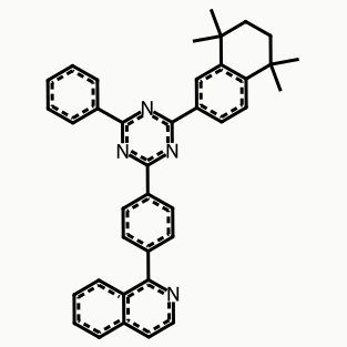 CC1(C)CCC(C)(C)c2cc(-c3nc(-c4ccccc4)nc(-c4ccc(-c5nccc6ccccc56)cc4)n3)ccc21